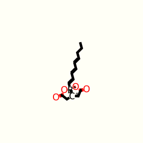 CCC/C=C/C=C/C=C/[B-]12OC(=O)C[C+]1CC(=O)O2